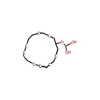 OB(O)OC1CCCCCCCCCCCCCCCCC1